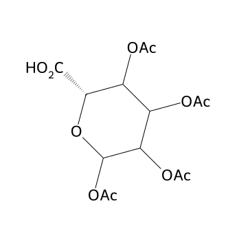 CC(=O)OC1O[C@H](C(=O)O)C(OC(C)=O)C(OC(C)=O)C1OC(C)=O